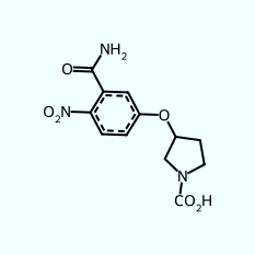 NC(=O)c1cc(OC2CCN(C(=O)O)C2)ccc1[N+](=O)[O-]